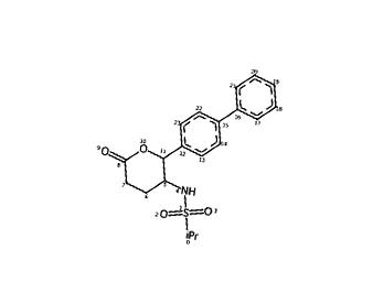 CC(C)S(=O)(=O)NC1CCC(=O)OC1c1ccc(-c2ccccc2)cc1